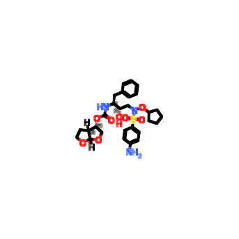 Nc1ccc(S(=O)(=O)N(C[C@H](O)[C@H](Cc2ccccc2)NC(=O)O[C@@H]2CO[C@@H]3OCC[C@@H]32)OC2CCCC2)cc1